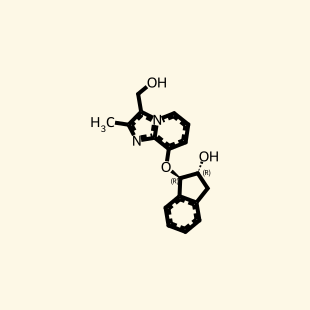 Cc1nc2c(O[C@@H]3c4ccccc4C[C@H]3O)cccn2c1CO